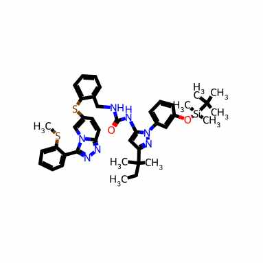 CCC(C)(C)c1cc(NC(=O)NCc2ccccc2Sc2ccc3nnc(-c4ccccc4SC)n3c2)n(-c2cccc(O[Si](C)(C)C(C)(C)C)c2)n1